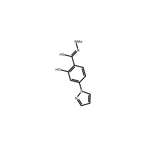 CN/N=C(\S)c1ccc(-n2cccn2)cc1O